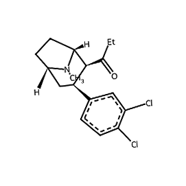 CCC(=O)[C@H]1[C@@H](c2ccc(Cl)c(Cl)c2)C[C@@H]2CC[C@H]1N2C